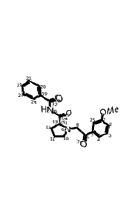 COc1cccc(C(=O)CN2CCC[C@H]2C(=O)NC(=O)c2ccccc2)c1